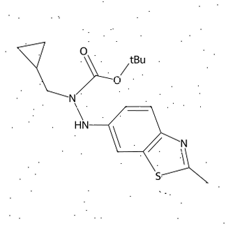 Cc1nc2ccc(NN(CC3CC3)C(=O)OC(C)(C)C)cc2s1